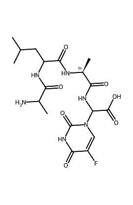 CC(C)CC(NC(=O)C(C)N)C(=O)N[C@@H](C)C(=O)NC(C(=O)O)n1cc(F)c(=O)[nH]c1=O